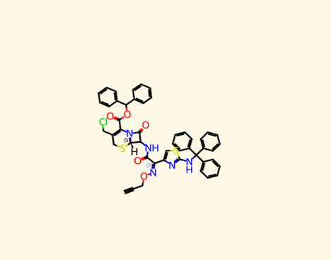 C#CCO/N=C(\C(=O)NC1C(=O)N2C(C(=O)OC(c3ccccc3)c3ccccc3)=C(CCl)CS[C@@H]12)c1csc(NC(c2ccccc2)(c2ccccc2)c2ccccc2)n1